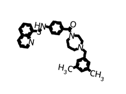 Cc1cc(C)cc(CN2CCCN(C(=O)c3ccc(NSc4cccc5cccnc45)cc3)CC2)c1